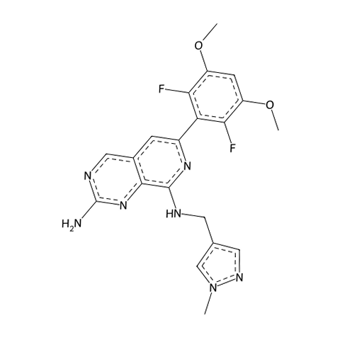 COc1cc(OC)c(F)c(-c2cc3cnc(N)nc3c(NCc3cnn(C)c3)n2)c1F